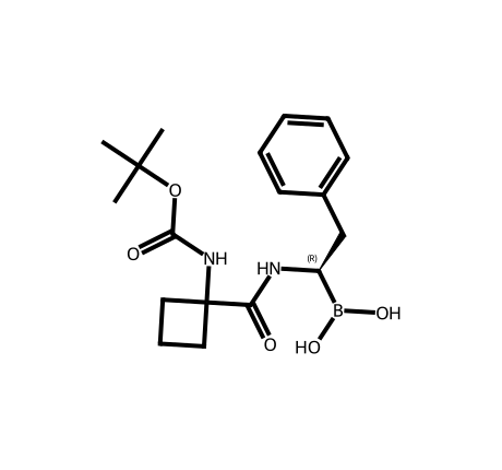 CC(C)(C)OC(=O)NC1(C(=O)N[C@@H](Cc2ccccc2)B(O)O)CCC1